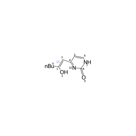 CCCC/C(O)=C/c1cc[nH]c(=O)n1